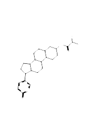 CC(N)C(=O)OC1CCC2C(CCC3C2CCC2C(c4ccc(=O)oc4)CCC23)C1